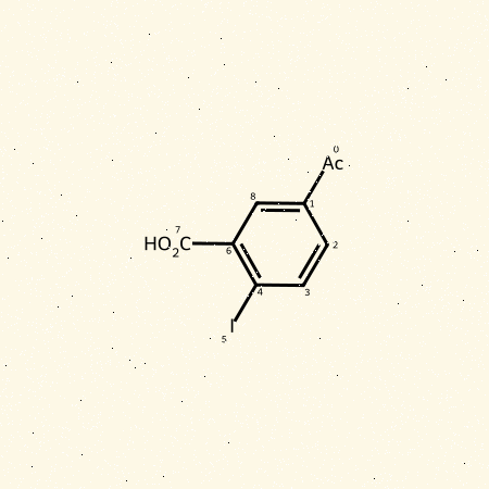 CC(=O)c1ccc(I)c(C(=O)O)c1